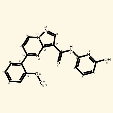 O=C(Nc1cccc(O)n1)c1cnn2ccc(-c3ccccc3OC(F)(F)F)nc12